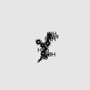 CCCCOc1ccc(NC(=O)N(Cc2ccc(C(=O)NC(=N)/N=N\N)cc2)c2ccc(C3CCCCC3)cc2)cc1S(=O)#CO